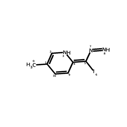 CC1=CN/C(=C(/I)N=N)C=C1